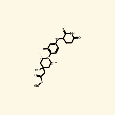 C[C@@H]1CC(O)(CC(=O)OC(C)(C)C)C[C@H](C)N1c1ccc(NC2CCC(=O)NC2=O)cc1F